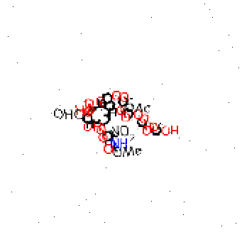 COC(=O)N[C@H]1[C@@H](C)O[C@@H](O[C@H]2C/C=C(\C)[C@@H]3C=CC4[C@@H](O[C@H]5C[C@@H](O[C@@]6(C)CCC(O[C@H]7C[C@@H](C)C(O[C@H]8CC[C@@H](O)[C@H](C)O8)[C@H](C)O7)[C@H](C)O6)[C@@H](OC(C)=O)[C@H](C)O5)[C@@H](C)C[C@H](C)[C@H]4[C@]3(C)C(=O)C3=C(O)C4(CC(C=O)=C[C@H](O)[C@H]4/C=C/2C)OC3=O)C[C@]1(C)[N+](=O)[O-]